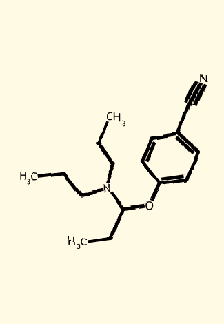 CCCN(CCC)C(CC)Oc1ccc(C#N)cc1